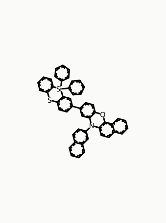 c1ccc([Si]2(c3ccccc3)c3ccccc3Sc3ccc(-c4ccc5c(c4)N(c4ccc6ccccc6c4)c4ccc6ccccc6c4O5)cc32)cc1